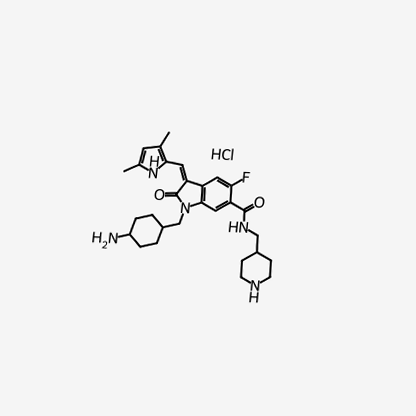 Cc1cc(C)c(/C=C2\C(=O)N(CC3CCC(N)CC3)c3cc(C(=O)NCC4CCNCC4)c(F)cc32)[nH]1.Cl